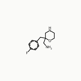 NCC1(Cc2ccc(F)cc2)CNCCO1